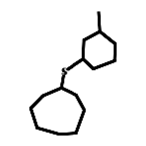 CC1CCCC(SC2CCCCCCC2)C1